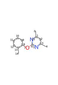 Cc1cc(C)nc(Oc2ccccc2C)n1